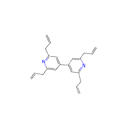 C=CCc1cc(-c2cc(CC=C)nc(CC=C)c2)cc(CC=C)n1